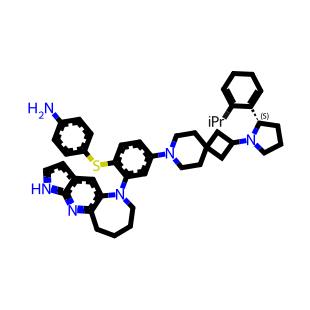 CC(C)C1=CCCC=C1[C@@H]1CCCN1C1CC2(CCN(c3ccc(Sc4ccc(N)cc4)c(N4CCCCc5nc6[nH]ccc6cc54)c3)CC2)C1